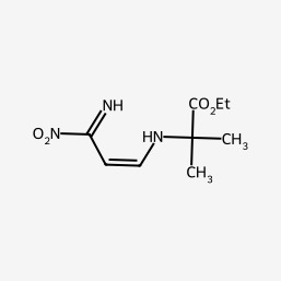 CCOC(=O)C(C)(C)N/C=C\C(=N)[N+](=O)[O-]